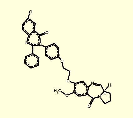 COc1cc2c(cc1OCCOc1ccc(-n3c(-c4ccccc4)nc4ccc(Cl)cc4c3=O)cc1)N=C[C@@H]1CCCN1C2=O